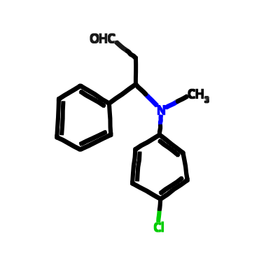 CN(c1ccc(Cl)cc1)C(CC=O)c1ccccc1